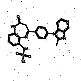 CCS(=O)(=O)Nc1cccc2c1N=C(c1ccc(-n3c(C)nc4cnccc43)cc1)CC(=O)N2